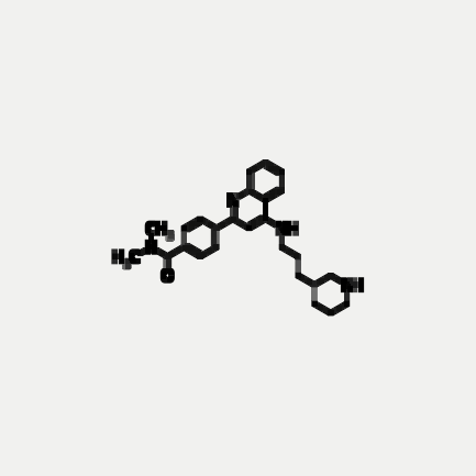 CN(C)C(=O)c1ccc(-c2cc(NCCCC3CCCNC3)c3ccccc3n2)cc1